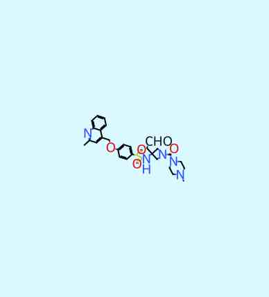 Cc1cc(COc2ccc(S(=O)(=O)NC3(CC=O)CN(C(=O)N4CCN(C)CC4)C3)cc2)c2ccccc2n1